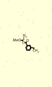 C=Cc1cccc(C(=O)OC(C)OC)c1